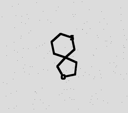 C1CSCC2(C1)CCOC2